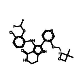 CC1(C)CO[C@@H]1COc1cnccc1-c1[nH]c2c(c1Nc1cccc(Cl)c1OC(F)F)C(=O)NCC2